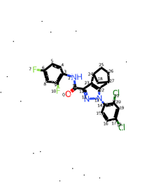 O=C(Nc1ccc(F)cc1F)c1nn(-c2ccc(Cl)cc2Cl)c2c1C1CCC2C1